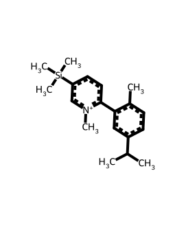 Cc1ccc(C(C)C)cc1-c1ccc([Si](C)(C)C)c[n+]1C